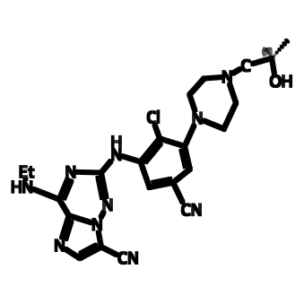 CCNc1nc(Nc2cc(C#N)cc(N3CCN(C[C@H](C)O)CC3)c2Cl)nn2c(C#N)cnc12